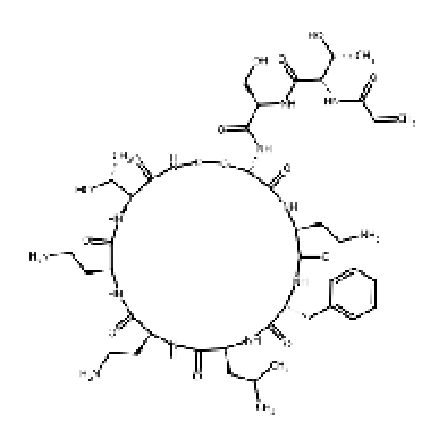 C=CC(=O)N[C@H](C(=O)N[C@H](CO)C(=O)N[C@H]1CCNC(=O)[C@H]([C@@H](C)O)NC(=O)[C@H](CCN)NC(=O)[C@H](CCN)NC(=O)[C@H](CC(C)C)NC(=O)[C@@H](Cc2ccccc2)NC(=O)[C@H](CCN)NC1=O)[C@@H](C)O